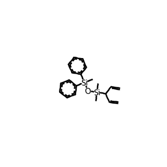 C=CC(C=C)[Si](C)(C)O[Si](C)(c1ccccc1)c1ccccc1